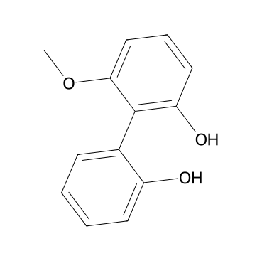 COc1cccc(O)c1-c1ccccc1O